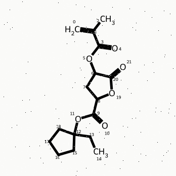 C=C(C)C(=O)OC1CC(C(=O)OC2(CC)CCCC2)OC1=O